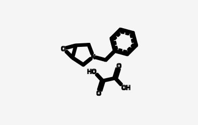 O=C(O)C(=O)O.c1ccc(CN2CC3OC3C2)cc1